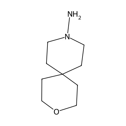 NN1CCC2(CCOCC2)CC1